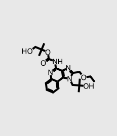 CCOCc1nc2c(NC(=O)OC(C)(C)CO)nc3ccccc3c2n1CC(C)(C)O